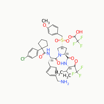 COc1ccc(CS(=O)(=O)[C@@H]2C[C@@H](C(=O)N[C@H](C(=O)C(F)(F)F)C(C)C)N(C(=O)[C@H](Cc3ccc(CN)cc3)NC(=O)C3(c4ccc(Cl)cc4)CCCC3)C2)cc1.O=C(O)C(F)(F)F